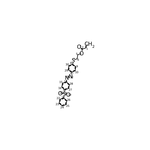 C=CC(=O)OCCSc1ccc(N=Nc2ccc(S(=O)(=O)c3ccccc3)cc2)cc1